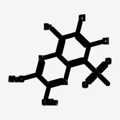 COc1nc2c(Br)c(Cl)c(Cl)c(S(C)(=O)=O)c2nc1OC